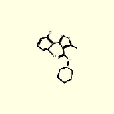 Cc1onc(-c2c(Cl)cccc2Cl)c1C(=O)NN1CCCCC1